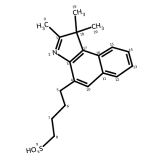 CC1=Nc2c(CCCCS(=O)(=O)O)cc3ccccc3c2C1(C)C